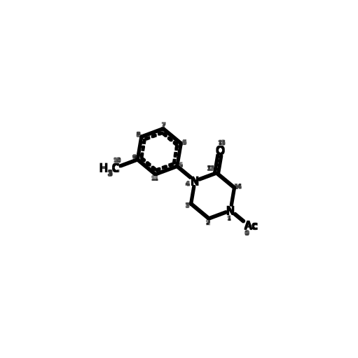 CC(=O)N1CCN(c2cccc(C)c2)C(=O)C1